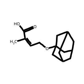 CC(=CCOC12CC3CC(CC(C3)C1)C2)C(=O)O